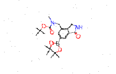 CN(Cc1cc(B2OC(C)(C)C(C)(C)O2)cc2c1CNC2=O)C(=O)OC(C)(C)C